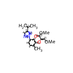 C=C(C)c1cnn(-c2ccc(C)c(O/C(=C\OC)C(=O)OC)c2)n1